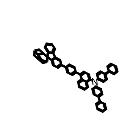 c1ccc(-c2ccc(N(c3ccc(-c4ccccc4)cc3)c3ccc(-c4ccc(-c5ccc6c(c5)-c5ccccc5C65C6CC7CC(C6)CC5C7)cc4)c4ccccc34)cc2)cc1